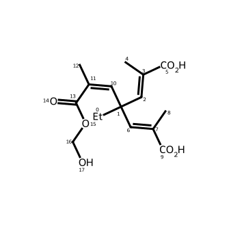 CCC(C=C(C)C(=O)O)(C=C(C)C(=O)O)C=C(C)C(=O)OCO